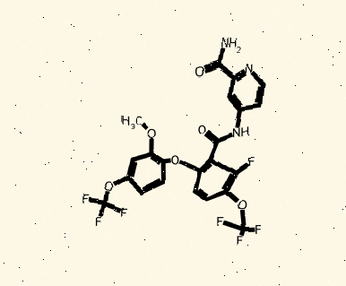 COc1cc(OC(F)(F)F)ccc1Oc1ccc(OC(F)(F)F)c(F)c1C(=O)Nc1ccnc(C(N)=O)c1